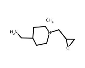 C.NCC1CCN(CC2CO2)CC1